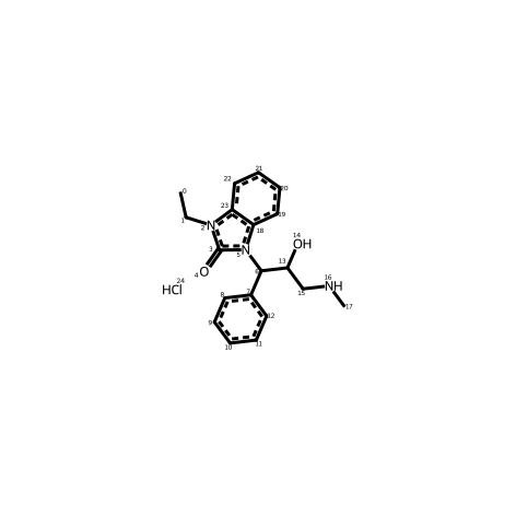 CCn1c(=O)n(C(c2ccccc2)C(O)CNC)c2ccccc21.Cl